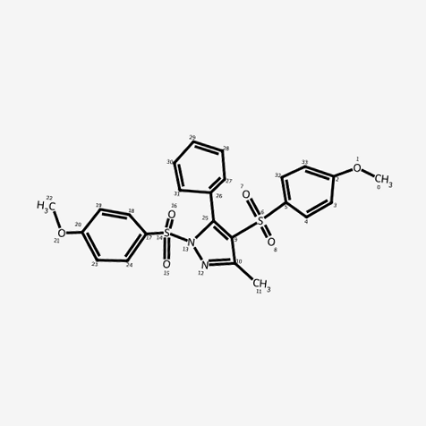 COc1ccc(S(=O)(=O)c2c(C)nn(S(=O)(=O)c3ccc(OC)cc3)c2-c2ccccc2)cc1